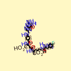 Nc1nc2ncc(CNc3ccc(C(=O)NC(CCC(=O)N[C@@H](CCCCNC(=O)C(N)Cc4ccc(F)cc4)C(=O)O)C(=O)O)cc3)nc2c(=O)[nH]1